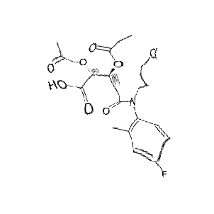 CC(=O)O[C@@H](C(=O)O)[C@@H](OC(C)=O)C(=O)N(CCCl)c1ccc(F)cc1C